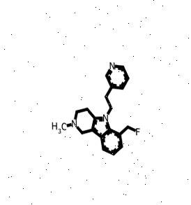 CN1CCc2c(c3cccc(CF)c3n2CCc2cccnc2)C1